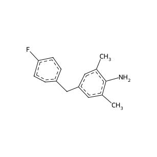 Cc1cc(Cc2ccc(F)cc2)cc(C)c1N